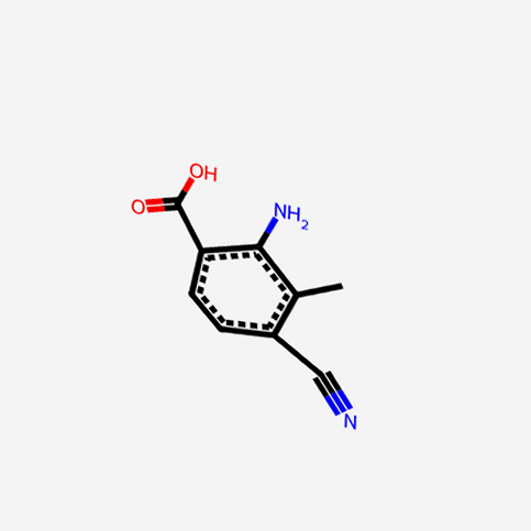 Cc1c(C#N)ccc(C(=O)O)c1N